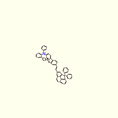 Cc1ccccc1N(c1ccccc1)c1ccc2c(c1)Cc1cc(/C=C/c3cc4c5c(ccc6cccc(c65)C4(c4ccccc4)c4ccccc4)c3)ccc1-2